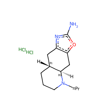 CCCN1CCC[C@@H]2Cc3nc(N)oc3C[C@H]21.Cl.Cl